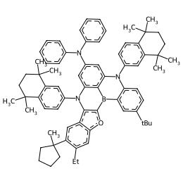 CCc1cc2oc3c(c2cc1C1(C)CCCC1)N(c1ccc2c(c1)C(C)(C)CCC2(C)C)c1cc(N(c2ccccc2)c2ccccc2)cc2c1B3c1cc(C(C)(C)C)ccc1N2c1ccc2c(c1)C(C)(C)CCC2(C)C